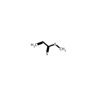 C=CC(=S)SC